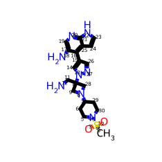 CS(=O)(=O)N1CCC(N2CC(CN)(n3cc(-c4c(N)cnc5[nH]ccc45)cn3)C2)CC1